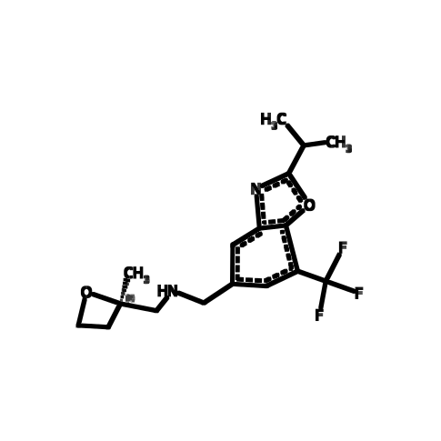 CC(C)c1nc2cc(CNC[C@@]3(C)CCO3)cc(C(F)(F)F)c2o1